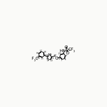 O=S(=O)(Nc1cccc(OCc2csc(-c3cccc(C(F)(F)F)c3)n2)c1)C(F)(F)F